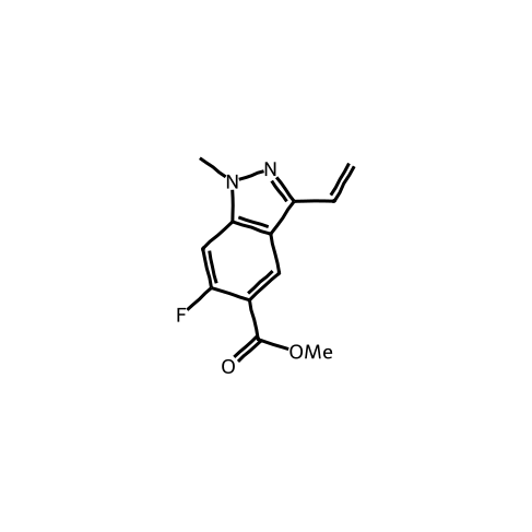 C=Cc1nn(C)c2cc(F)c(C(=O)OC)cc12